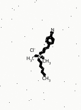 CCCCCCC[N+](CC)(CC)CC=CCc1ccc(C#N)cc1.[Cl-]